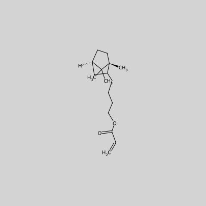 C=CC(=O)OCCCCC1C[C@H]2CC[C@@]1(C)C2(C)C